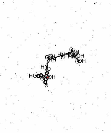 O=C(O)CC[C@H](NC(=O)N[C@@H](CCCCNC(=O)CCCCCCC(=O)NC(CCCCNC(=O)Cc1ccc(C(=O)O)c(-c2c3ccc4cc(O)ccc4c3oc3c2ccc2cc(=O)ccc23)c1)C(=O)O)C(=O)O)C(=O)O